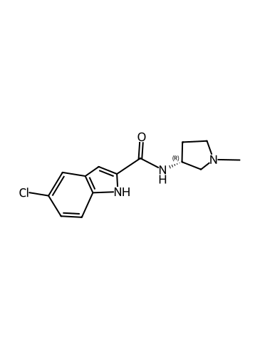 CN1CC[C@@H](NC(=O)c2cc3cc(Cl)ccc3[nH]2)C1